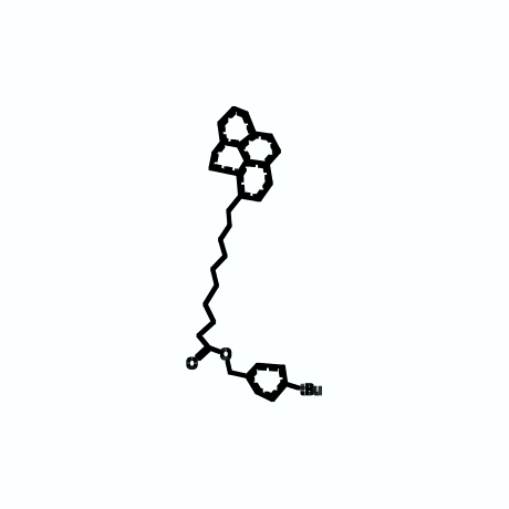 CC(C)(C)c1ccc(COC(=O)CCCCCCCCCc2ccc3ccc4cccc5ccc2c3c45)cc1